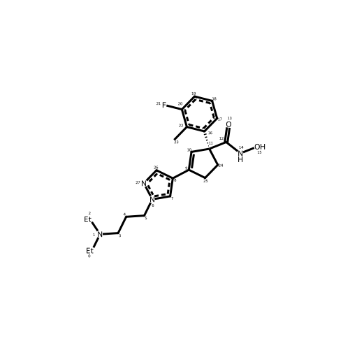 CCN(CC)CCCn1cc(C2=C[C@](C(=O)NO)(c3cccc(F)c3C)CC2)cn1